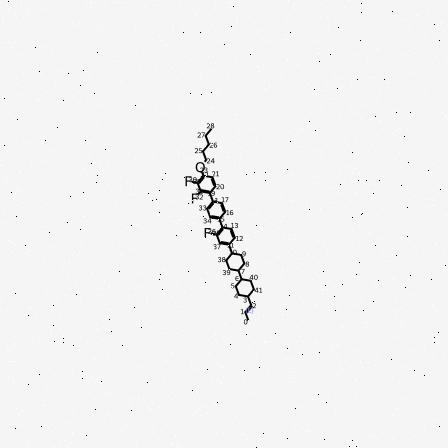 C/C=C/C1CCC(C2CCC(c3ccc(-c4ccc(-c5ccc(OCCCCC)c(F)c5F)cc4)c(F)c3)CC2)CC1